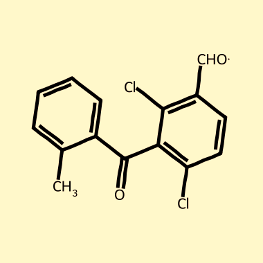 Cc1ccccc1C(=O)c1c(Cl)ccc([C]=O)c1Cl